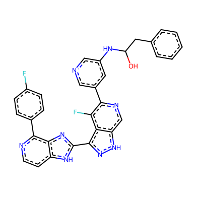 OC(Cc1ccccc1)Nc1cncc(-c2ncc3[nH]nc(-c4nc5c(-c6ccc(F)cc6)nccc5[nH]4)c3c2F)c1